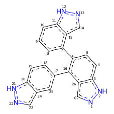 [c]1n[nH]c2ccc(-c3cccc4[nH]ncc34)c(-c3ccc4[nH]ncc4c3)c12